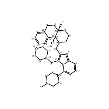 CN1CCN(c2cccc3nc(CN4CCC[C@H]5CCc6cccnc6[C@H]54)c(CN4CCOCC4)n23)CC1